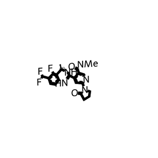 CNC(=O)c1cnc(N2CCCC2=O)cc1C(=N)N[C@H](C)c1cccc(C(F)F)c1F